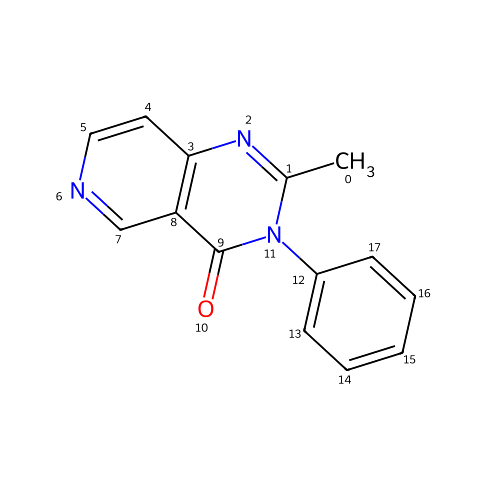 Cc1nc2ccncc2c(=O)n1-c1ccccc1